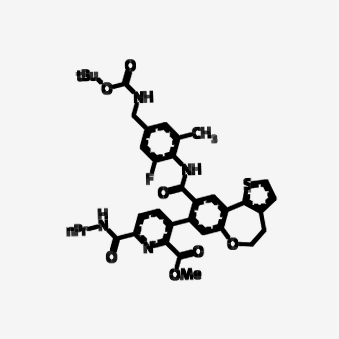 CCCNC(=O)c1ccc(-c2cc3c(cc2C(=O)Nc2c(C)cc(CNC(=O)OC(C)(C)C)cc2F)-c2sccc2CCO3)c(C(=O)OC)n1